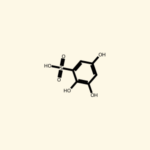 O=S(=O)(O)c1cc(O)cc(O)c1O